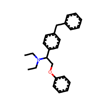 CCN(CC)C(COc1ccccc1)c1ccc(Cc2ccccc2)cc1